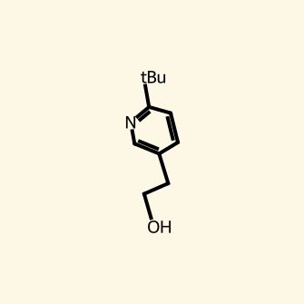 CC(C)(C)c1ccc(CCO)cn1